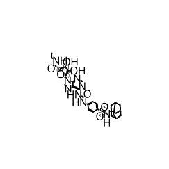 CCNC(=O)[C@H]1O[C@@H](n2cnc3c(NC(=O)Nc4ccc(S(=O)(=O)NC56CC7CC(CC(C7)C5)C6)cc4)ncnc32)[C@H](O)[C@@H]1O